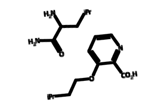 CC(C)CC(N)C(N)=O.CC(C)CCOc1cccnc1C(=O)O